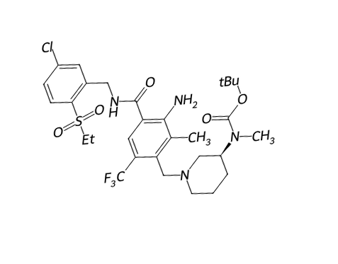 CCS(=O)(=O)c1ccc(Cl)cc1CNC(=O)c1cc(C(F)(F)F)c(CN2CCC[C@H](N(C)C(=O)OC(C)(C)C)C2)c(C)c1N